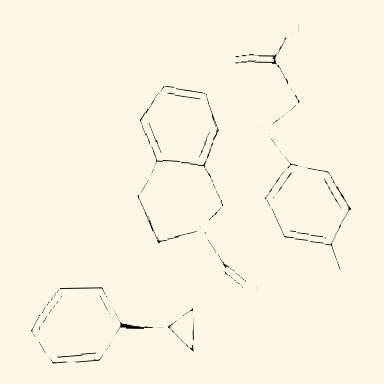 O=C(O)COc1ccc(F)cc1[C@H]1c2ccccc2CCN1C(=O)[C@@H]1C[C@H]1c1ccccc1